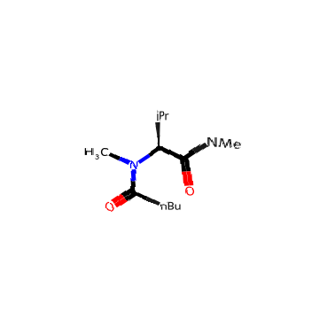 CCCCC(=O)N(C)[C@H](C(=O)NC)C(C)C